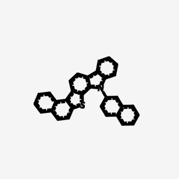 c1ccc2cc(-n3c4ccccc4c4ccc5c(sc6ccc7ccccc7c65)c43)ccc2c1